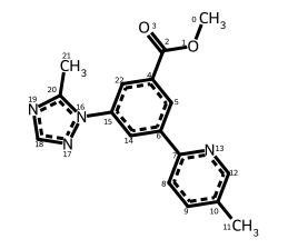 COC(=O)c1cc(-c2ccc(C)cn2)cc(-n2ncnc2C)c1